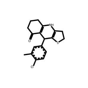 Cc1cc(C2C3=C(CCS3)NC3=C2C(=O)CCC3)ccc1Cl